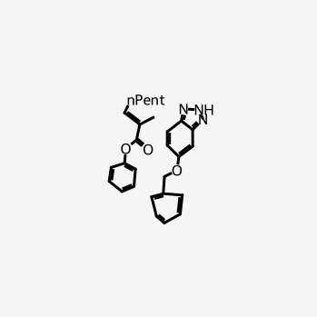 CCCCCC=C(C)C(=O)Oc1ccccc1.c1ccc(COc2ccc3n[nH]nc3c2)cc1